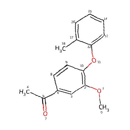 COc1cc(C(C)=O)ccc1Oc1ccccc1C